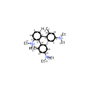 CCN(CC)c1ccc(-c2cc[c]c(N(CC)CC)c2-c2ccc(N(CC)CC)cc2C)c(C)c1